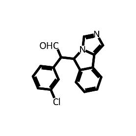 O=CC(c1cccc(Cl)c1)C1c2ccccc2-c2cncn21